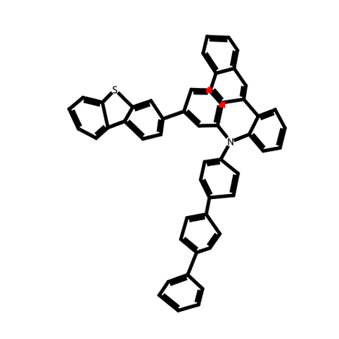 c1ccc(-c2ccc(-c3ccc(N(c4cccc(-c5ccc6c(c5)sc5ccccc56)c4)c4ccccc4-c4ccc5ccccc5c4)cc3)cc2)cc1